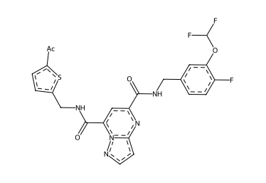 CC(=O)c1ccc(CNC(=O)c2cc(C(=O)NCc3ccc(F)c(OC(F)F)c3)nc3ccnn23)s1